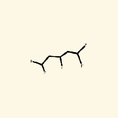 FC(F)CC(F)CC(F)F